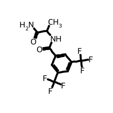 CC(NC(=O)c1cc(C(F)(F)F)cc(C(F)(F)F)c1)C(N)=O